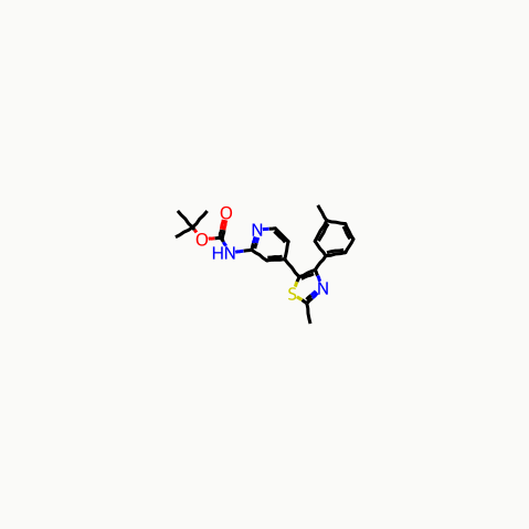 Cc1cccc(-c2nc(C)sc2-c2ccnc(NC(=O)OC(C)(C)C)c2)c1